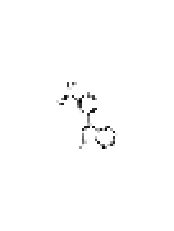 CCC(=O)c1cccc(-c2cn(C)c3ccccc23)c1